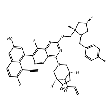 C#Cc1c(F)ccc2cc(O)cc(-c3ncc4c(N5C[C@H]6CC(C#N)[C@@H](C5)N6C(=O)C=C)nc(OC[C@]5(C)C[C@@H](F)CN5Cc5ccc(F)cc5)nc4c3F)c12